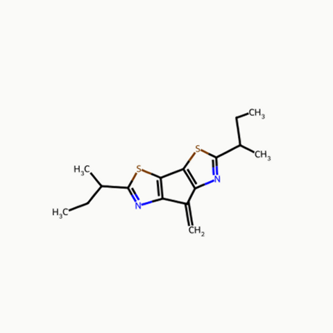 C=C1c2nc(C(C)CC)sc2-c2sc(C(C)CC)nc21